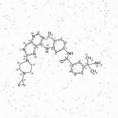 Cc1ccc(NC(=O)c2cccc(C(C)(C)N)c2)cc1Nc1ncnc2cnc(N3CCN(C4CC4)CC3)nc12